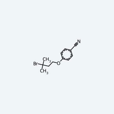 CC(C)(Br)CCOc1ccc(C#N)cc1